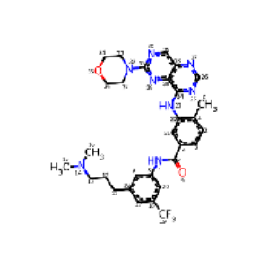 Cc1ccc(C(=O)Nc2cc(CCCN(C)C)cc(C(F)(F)F)c2)cc1Nc1ncnc2cnc(N3CCOCC3)nc12